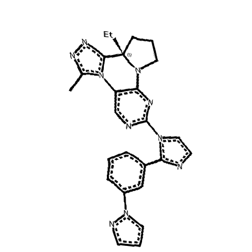 CC[C@@]12CCCN1c1nc(-n3ccnc3-c3cccc(-n4cccn4)c3)ncc1-n1c(C)nnc12